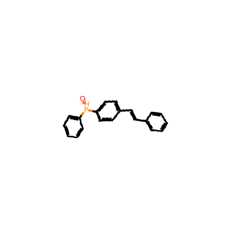 O=[PH](c1ccccc1)c1ccc(C=Cc2ccccc2)cc1